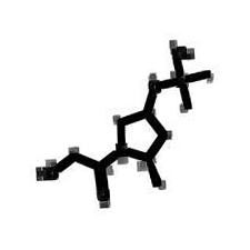 C[C@@H]1CC(O[Si](C)(C)C(C)(C)C)CN1C(=O)CO